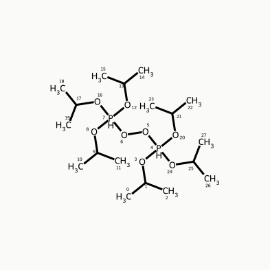 CC(C)O[PH](OO[PH](OC(C)C)(OC(C)C)OC(C)C)(OC(C)C)OC(C)C